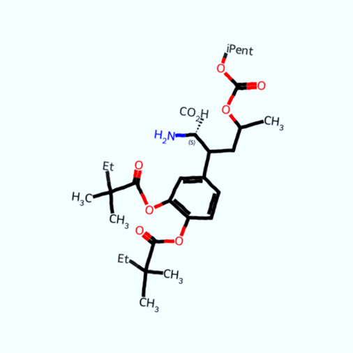 CCCC(C)OC(=O)OC(C)CC(c1ccc(OC(=O)C(C)(C)CC)c(OC(=O)C(C)(C)CC)c1)[C@H](N)C(=O)O